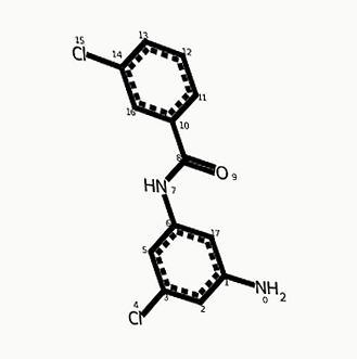 Nc1cc(Cl)cc(NC(=O)c2cccc(Cl)c2)c1